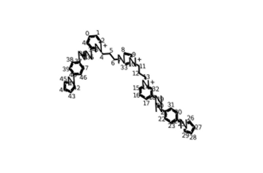 c1cc[n+](CCCn2cc[n+](CCC[n+]3cccc(/N=N/c4ccc(-n5cccc5)cc4)c3)c2)c(/N=N/c2ccc(-n3cccc3)cc2)c1